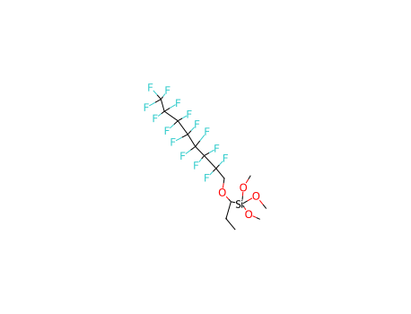 CCC(OCC(F)(F)C(F)(F)C(F)(F)C(F)(F)C(F)(F)C(F)(F)C(F)(F)F)[Si](OC)(OC)OC